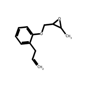 C=CCc1ccccc1OCC1OC1C